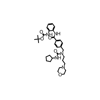 CC(C)(C)OC(=O)Nc1ccccc1NC(=O)c1ccc(CN(CCCN2CCOCC2)C(=O)NC2CCCC2)cc1